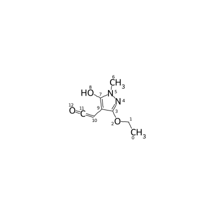 CCOc1nn(C)c(O)c1C=C=O